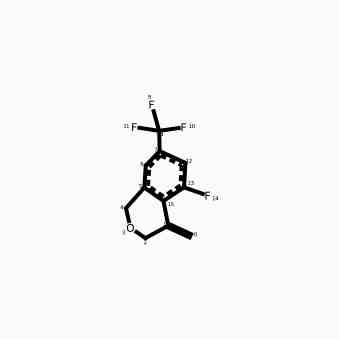 C=C1COCc2cc(C(F)(F)F)cc(F)c21